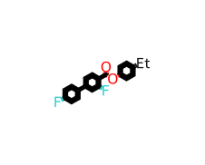 CCc1ccc(OC(=O)c2ccc(-c3ccc(F)cc3)cc2F)cc1